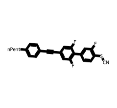 CCCCCc1ccc(C#Cc2cc(F)c(-c3ccc(SC#N)c(F)c3)c(F)c2)cc1